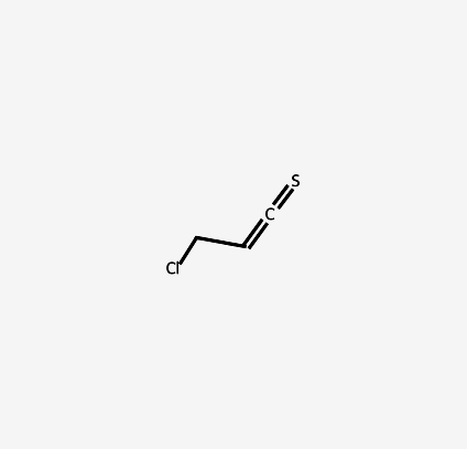 S=C=CCCl